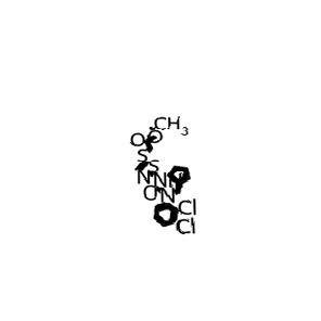 CCOC(=O)CSc1cnc(NC(=O)N(CC2CCCC2)c2cccc(Cl)c2Cl)s1